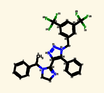 CC(c1ccccc1)N1CCN=C1c1nnn(Cc2cc(C(F)(F)F)cc(C(F)(F)F)c2)c1-c1ccccc1